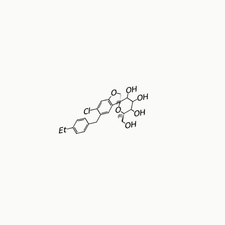 CCc1ccc(Cc2cc3c(cc2Cl)OC[C@]32O[C@H](CO)C(O)C(O)C2O)cc1